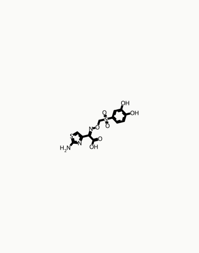 Nc1nc(/C(=N/OCS(=O)(=O)c2ccc(O)c(O)c2)C(=O)O)cs1